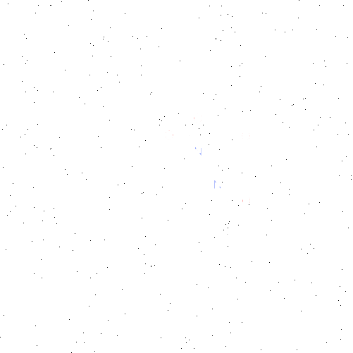 CC(C)(C)CC(=O)N1CCN(C(=O)OCc2ccccc2)C(C=O)C1